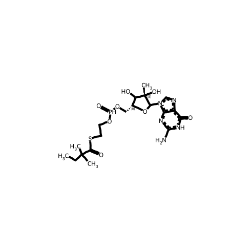 CCC(C)(C)C(=O)SCCO[PH](=O)OC[C@H]1OC(n2cnc3c(=O)[nH]c(N)nc32)[C@@](C)(O)C1O